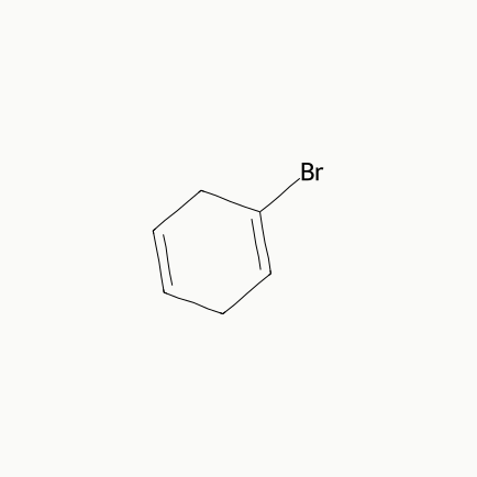 BrC1=CCC=CC1